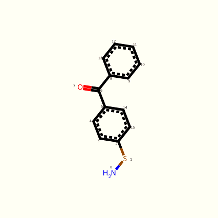 NSc1ccc(C(=O)c2ccccc2)cc1